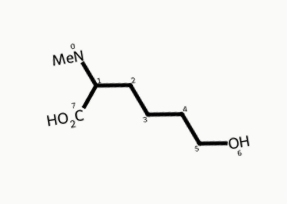 CNC(CCCCO)C(=O)O